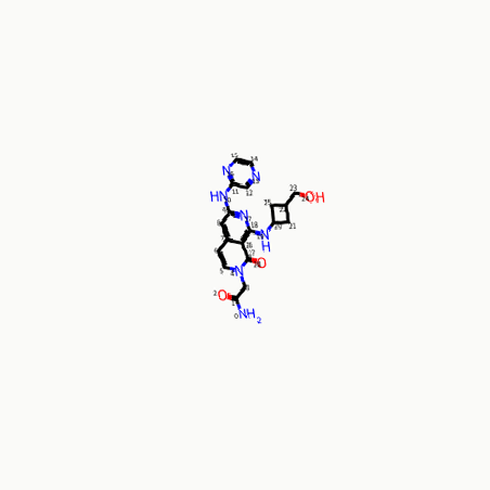 NC(=O)Cn1ccc2cc(Nc3cnccn3)nc(NC3CC(CO)C3)c2c1=O